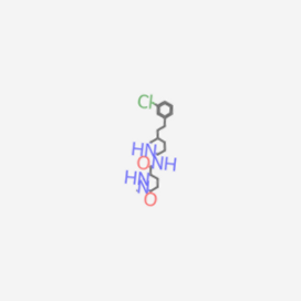 CN1NC(C(=O)NC2CCC(CCc3cccc(Cl)c3)CN2)CCC1=O